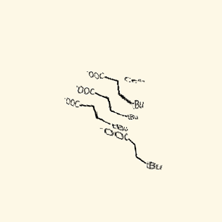 CC(C)(C)CCC(=O)[O-].CC(C)(C)CCC(=O)[O-].CC(C)(C)CCC(=O)[O-].CC(C)(C)CCC(=O)[O-].[Ce+4]